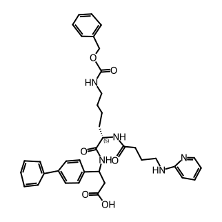 O=C(O)CC(NC(=O)[C@H](CCCCNC(=O)OCc1ccccc1)NC(=O)CCCNc1ccccn1)c1ccc(-c2ccccc2)cc1